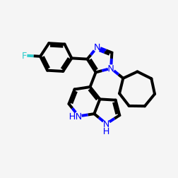 Fc1ccc(-c2ncn(C3CCCCCC3)c2C2=C3C=CNC3NC=C2)cc1